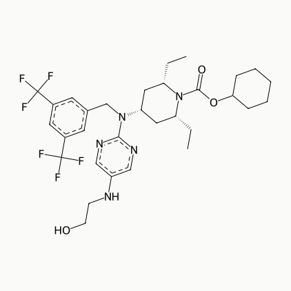 CC[C@@H]1C[C@H](N(Cc2cc(C(F)(F)F)cc(C(F)(F)F)c2)c2ncc(NCCO)cn2)C[C@H](CC)N1C(=O)OC1CCCCC1